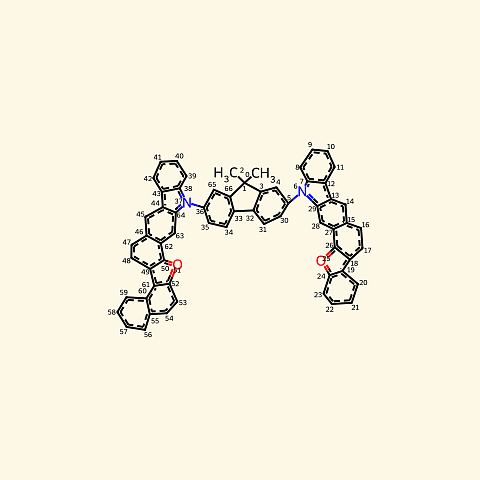 CC1(C)c2cc(-n3c4ccccc4c4cc5ccc6c7ccccc7oc6c5cc43)ccc2-c2ccc(-n3c4ccccc4c4cc5ccc6c(oc7ccc8ccccc8c76)c5cc43)cc21